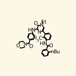 CCCCc1ccccc1C(=O)Nc1cccc(-c2cn(CC)c(=O)c(Nc3ccc(C(=O)N4CCOCC4)cc3)n2)c1C